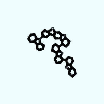 c1ccc2c(c1)oc1c(-c3cccc4c3oc3c(-c5cccc6oc7cc8oc9ccc(-n%10c%11ccccc%11c%11ccccc%11%10)cc9c8cc7c56)cccc34)cccc12